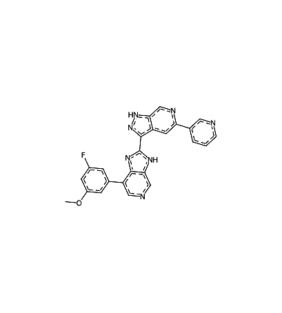 COc1cc(F)cc(-c2cncc3[nH]c(-c4n[nH]c5cnc(-c6cccnc6)cc45)nc23)c1